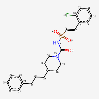 O=C(NS(=O)(=O)C=Cc1ccccc1F)N1CCC(CCCc2ccccc2)CC1